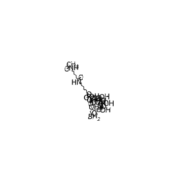 B[C@H]1C[C@@H](O)[C@@H](COP(=O)(O)OP(=O)(O)OP(=O)(O)OP(=O)(O)OP(=O)(O)OP(=O)(O)OCCCCCCNC(=O)CCCCCNC(C)=O)O1